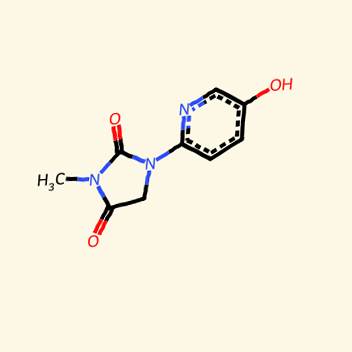 CN1C(=O)CN(c2ccc(O)cn2)C1=O